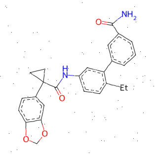 CCc1ccc(NC(=O)C2(c3ccc4c(c3)OCO4)CC2)cc1-c1cccc(C(N)=O)c1